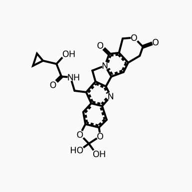 O=C1Cc2cc3n(c(=O)c2CO1)Cc1c-3nc2cc3c(cc2c1CNC(=O)C(O)C1CC1)OC(O)(O)O3